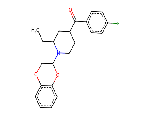 CCC1CC(C(=O)c2ccc(F)cc2)CCN1C1COc2ccccc2O1